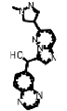 CN1CC(c2ccc3ncc(C(O)c4ccc5nccnc5c4)n3n2)C=N1